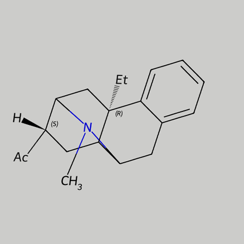 CC[C@@]12CC3[C@@H](C(C)=O)CC1C(Cc1ccccc12)N3C